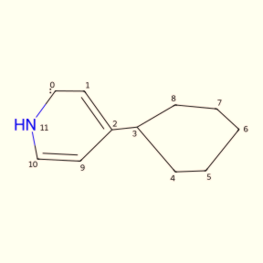 [C]1C=C(C2CCCCC2)C=CN1